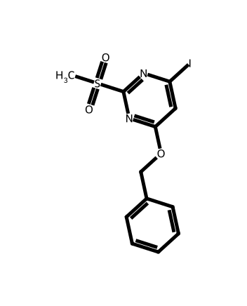 CS(=O)(=O)c1nc(I)cc(OCc2ccccc2)n1